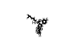 CC(C)CCCCCNC(=O)[C@H]1CN(S(=O)(=O)c2cn(C)cn2)C[C@@H]1c1ccc(F)cc1